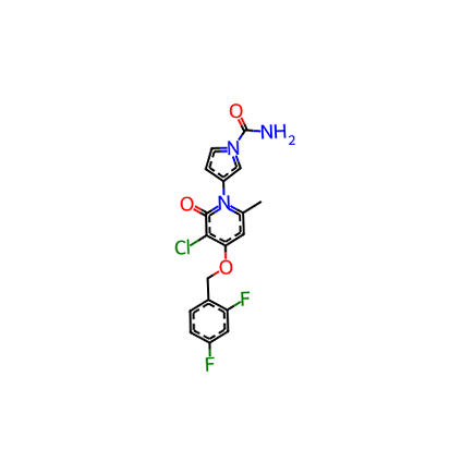 Cc1cc(OCc2ccc(F)cc2F)c(Cl)c(=O)n1-c1ccn(C(N)=O)c1